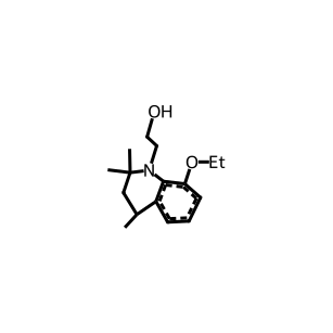 CCOc1cccc2c1N(CCO)C(C)(C)CC2C